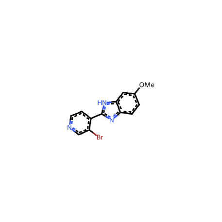 COc1ccc2nc(-c3ccncc3Br)[nH]c2c1